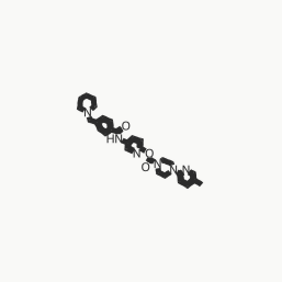 Cc1ccc(N2CCN(C(=O)Oc3ccc(NC(=O)c4ccc(CN5CCCCC5)cc4)cn3)CC2)nc1